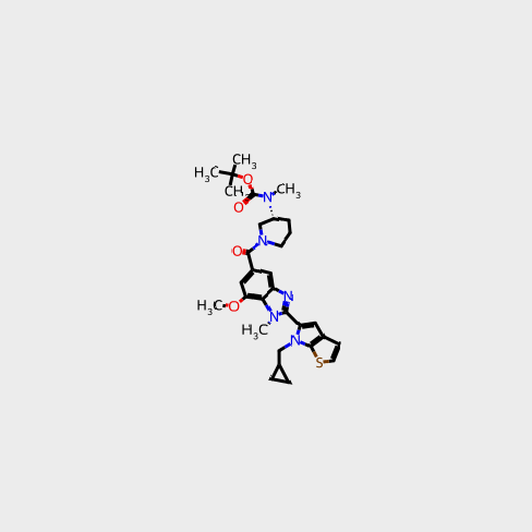 COc1cc(C(=O)N2CCC[C@@H](N(C)C(=O)OC(C)(C)C)C2)cc2nc(-c3cc4ccsc4n3CC3CC3)n(C)c12